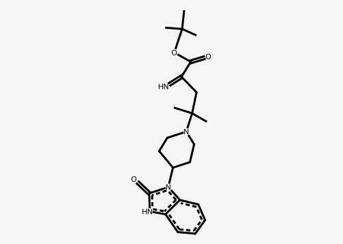 CC(C)(C)OC(=O)C(=N)CC(C)(C)N1CCC(n2c(=O)[nH]c3ccccc32)CC1